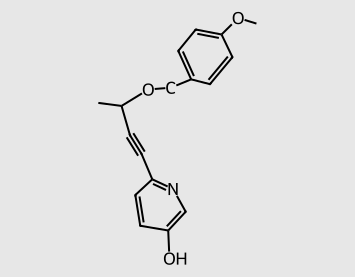 COc1ccc(COC(C)C#Cc2ccc(O)cn2)cc1